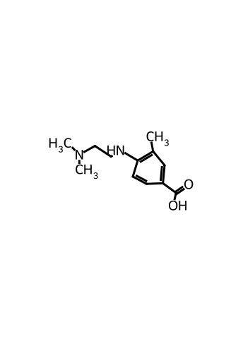 Cc1cc(C(=O)O)ccc1NCCN(C)C